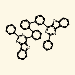 c1ccc(-c2nc(-c3cccc(-c4ccccc4-c4ccccc4-c4nc(-c5ccccc5)nc5c4oc4ccccc45)c3)c3oc4ccccc4c3n2)cc1